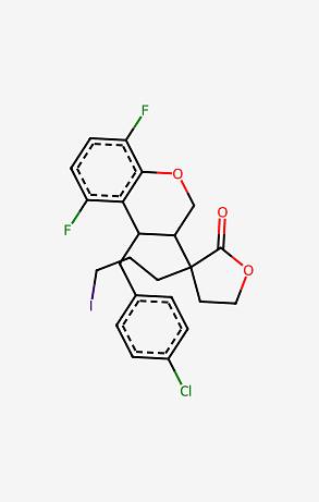 O=C1OCCC1(CCCI)C1COc2c(F)ccc(F)c2C1Cc1ccc(Cl)cc1